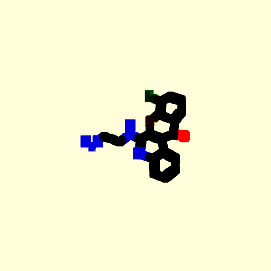 NCCNc1nc2ccccc2c2c(=O)c3cccc(F)c3sc12